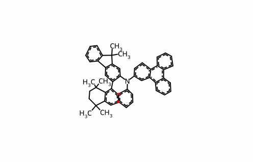 CC1(C)CCC(C)(C)c2c(-c3cc4c(cc3N(c3ccccc3)c3ccc5c6ccccc6c6ccccc6c5c3)C(C)(C)c3ccccc3-4)cccc21